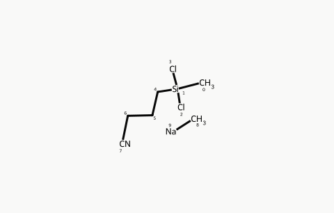 C[Si](Cl)(Cl)CCCC#N.[CH3][Na]